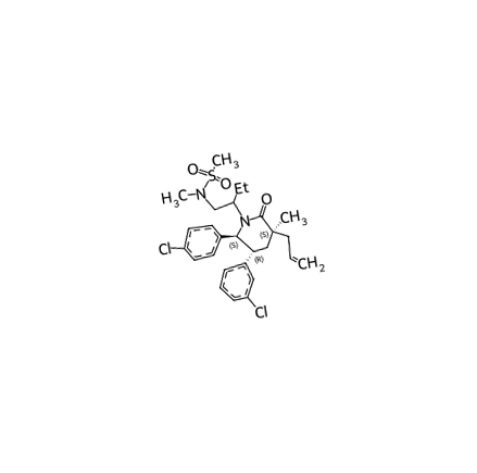 C=CC[C@@]1(C)C[C@H](c2cccc(Cl)c2)[C@@H](c2ccc(Cl)cc2)N(C(CC)CN(C)S(C)(=O)=O)C1=O